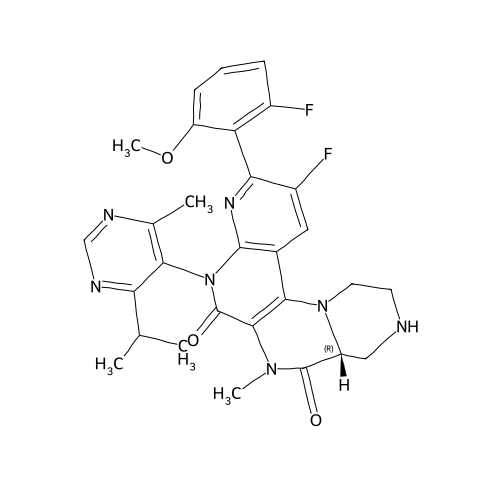 COc1cccc(F)c1-c1nc2c(cc1F)c1c(c(=O)n2-c2c(C)ncnc2C(C)C)N(C)C(=O)[C@H]2CNCCN12